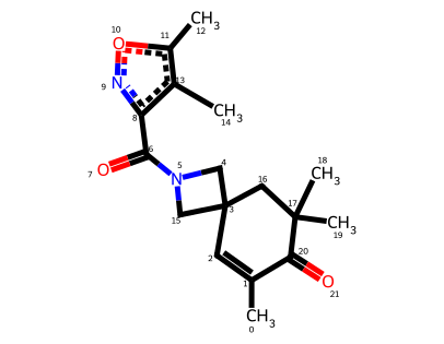 CC1=CC2(CN(C(=O)c3noc(C)c3C)C2)CC(C)(C)C1=O